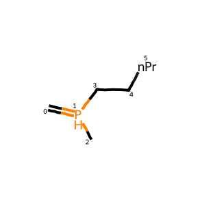 C=[PH](C)CCCCC